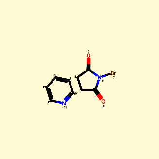 O=C1CCC(=O)N1Br.c1ccncc1